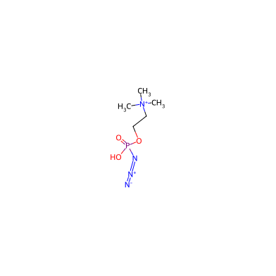 C[N+](C)(C)CCOP(=O)(O)N=[N+]=[N-]